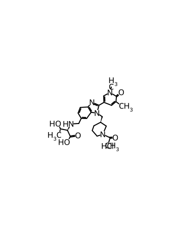 CC(=O)N1CCC[C@@H](Cn2c(-c3cc(C)c(=O)n(C)c3)nc3ccc(CN[C@@H](C(=O)O)[C@@H](C)O)cc32)C1.Cl